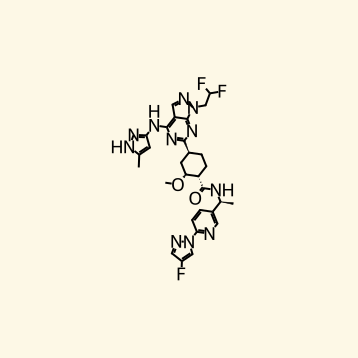 CO[C@H]1C[C@@H](c2nc(Nc3cc(C)[nH]n3)c3cnn(CC(F)F)c3n2)CC[C@@H]1C(=O)N[C@@H](C)c1ccc(-n2cc(F)cn2)nc1